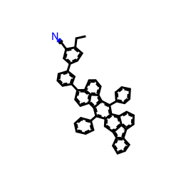 CCc1ccc(-c2cccc(-c3ccc4c5c(-c6ccccc6)c6cc7c8ccccc8c8cccc(c6c(-c6ccccc6)c5c5cccc3c45)c87)c2)cc1C#N